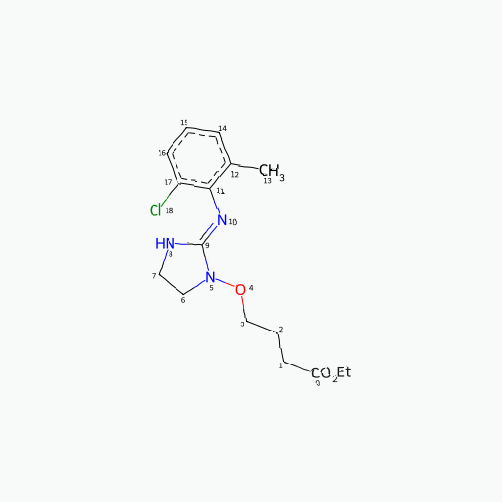 CCOC(=O)CCCON1CCN/C1=N\c1c(C)cccc1Cl